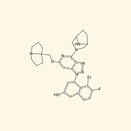 CCc1c(F)ccc2cc(O)cc(-n3nnc4c(N5CC6CCC(C5)N6)nc(OCC56CCCN5CCC6)cc43)c12